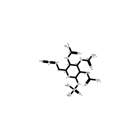 CC(=O)NC1C(OP(=O)(O)O)OC(CN=[N+]=[N-])C(OC(C)=O)C1OC(C)=O